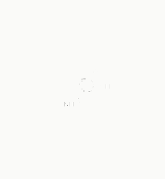 CC(C)NCC(=O)c1ccc(O)c(O)c1